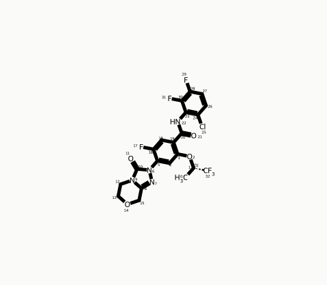 C[C@H](Oc1cc(-n2nc3n(c2=O)CCOC3)c(F)cc1C(=O)Nc1c(Cl)ccc(F)c1F)C(F)(F)F